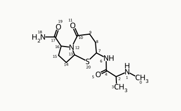 CNC(C)C(=O)NC1CCC(=O)N2C(CCC2C(N)=O)S1